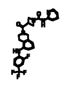 O=C(Nc1ccccn1)N1CC(C(=O)N2CCc3c(cccc3Nc3ccc(C(F)(F)F)cc3F)C2)C1